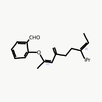 C=C(/C=C(/C)Oc1ccccc1C=O)CC/C(=C\C)C(C)C